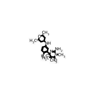 C[C@@H]1CC(Nc2ccc(F)c([C@@]3(C)N=C(N)N(C)C(=O)C3(C)C)c2)C[C@H](C)O1